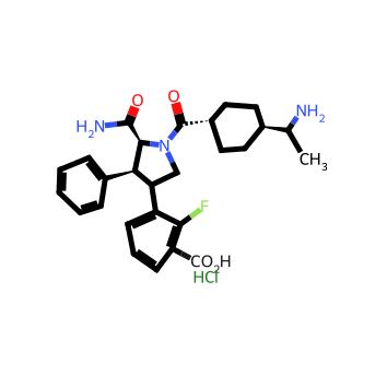 CC(N)[C@H]1CC[C@H](C(=O)N2CC(c3cccc(C(=O)O)c3F)[C@@H](c3ccccc3)[C@H]2C(N)=O)CC1.Cl